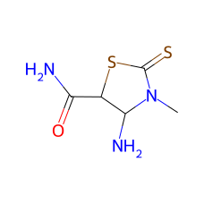 CN1C(=S)SC(C(N)=O)C1N